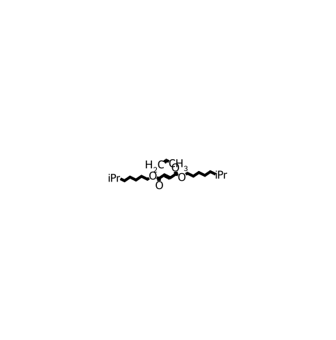 C=CC.CC(C)CCCCCOC(=O)/C=C/C(=O)OCCCCCC(C)C